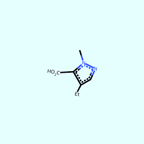 CCc1cnn(C)c1C(=O)O